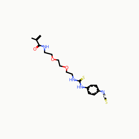 C=C(C)C(=O)NCCOCCOCCNC(=S)Nc1ccc(N=C=S)cc1